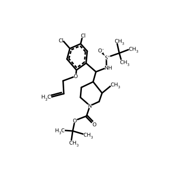 C=CCOc1cc(Cl)c(Cl)cc1C(N[S@@+]([O-])C(C)(C)C)C1CCN(C(=O)OC(C)(C)C)CC1C